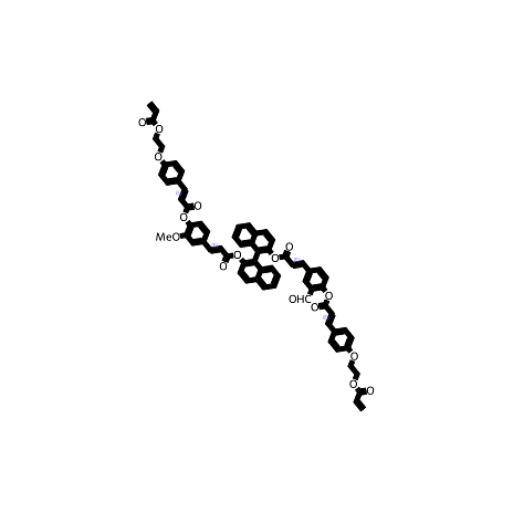 C=CC(=O)OCCOc1ccc(/C=C/C(=O)Oc2ccc(/C=C/C(=O)Oc3ccc4ccccc4c3-c3c(OC(=O)/C=C/c4ccc(OC(=O)/C=C/c5ccc(OCCOC(=O)C=C)cc5)c(OC)c4)ccc4ccccc34)cc2C=O)cc1